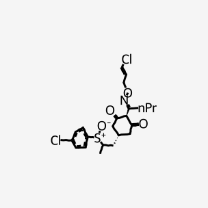 CCCC(=NOCC=CCl)[C@H]1C(=O)C[C@H](CC(C)[S+]([O-])c2ccc(Cl)cc2)CC1=O